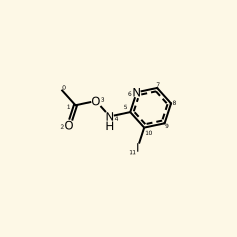 CC(=O)ONc1ncccc1I